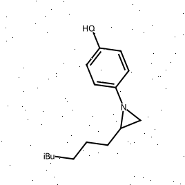 CCC(C)CCCC1CN1c1ccc(O)cc1